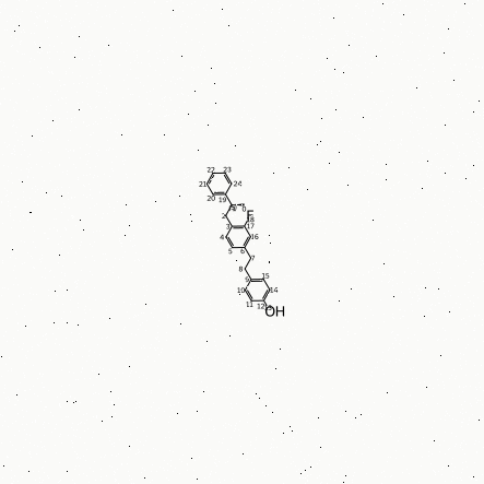 C[C@@H](Cc1ccc(CCc2ccc(O)cc2)cc1F)c1ccccc1